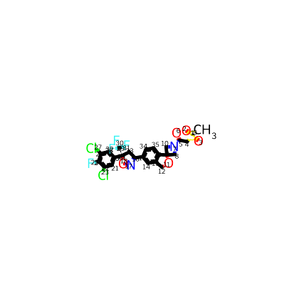 CS(=O)(=O)CC(=O)N1CC2(C1)OCc1cc(C3=NO[C@](c4cc(Cl)c(F)c(Cl)c4)(C(F)(F)F)C3)ccc12